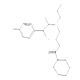 CCCN(CCCC(=O)C1CCCCC1)C(C)C(O)c1ccc(O)cc1